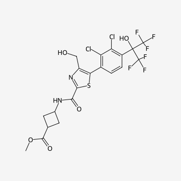 COC(=O)C1CC(NC(=O)c2nc(CO)c(-c3ccc(C(O)(C(F)(F)F)C(F)(F)F)c(Cl)c3Cl)s2)C1